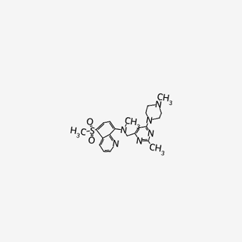 Cc1nc(CN(C)c2ccc(S(C)(=O)=O)c3cccnc23)cc(N2CCN(C)CC2)n1